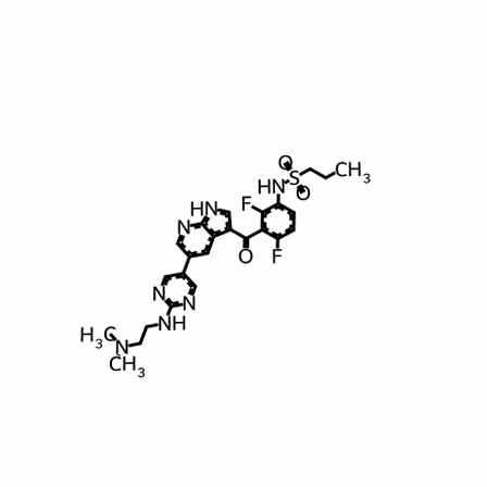 CCCS(=O)(=O)Nc1ccc(F)c(C(=O)c2c[nH]c3ncc(-c4cnc(NCCN(C)C)nc4)cc23)c1F